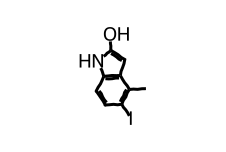 Cc1c(I)ccc2[nH]c(O)cc12